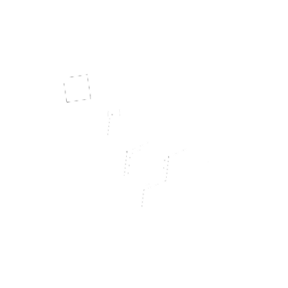 CSc1cc(F)cc(CNC2COC2)c1